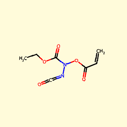 C=CC(=O)ON(N=C=O)C(=O)OCC